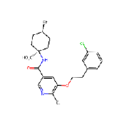 CCc1ncc(C(=O)N[C@]2(C(=O)O)CC[C@H](CC)CC2)cc1OCCc1cccc(Cl)c1